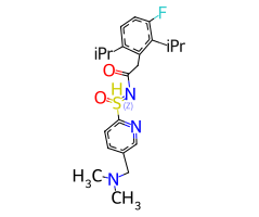 CC(C)c1ccc(F)c(C(C)C)c1CC(=O)/N=[SH](=O)/c1ccc(CN(C)C)cn1